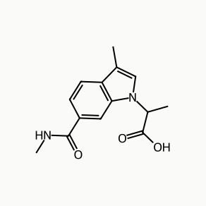 CNC(=O)c1ccc2c(C)cn(C(C)C(=O)O)c2c1